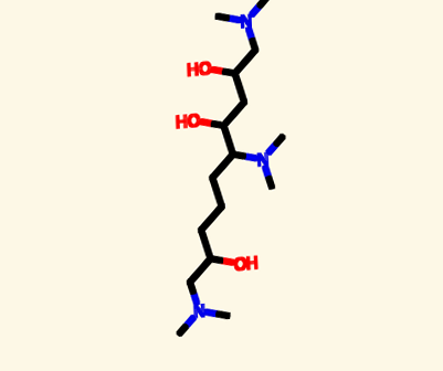 CN(C)CC(O)CCCC(C(O)CC(O)CN(C)C)N(C)C